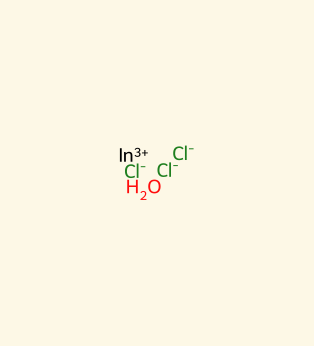 O.[Cl-].[Cl-].[Cl-].[In+3]